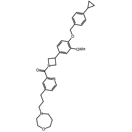 COc1cc(C2CN(C(=O)c3cc(CCCN4CCCOCC4)ccn3)C2)ccc1OCc1ccc(C2CC2)cc1